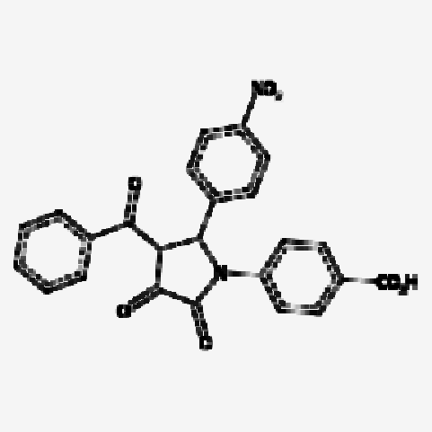 O=C(O)c1ccc(N2C(=O)C(=O)C(C(=O)c3ccccc3)C2c2ccc([N+](=O)[O-])cc2)cc1